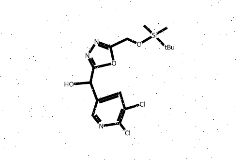 CC(C)(C)[Si](C)(C)OCc1nnc(C(O)c2cnc(Cl)c(Cl)c2)o1